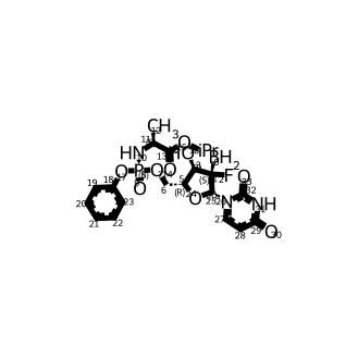 B[C@]1(F)[C@H](O)[C@@H](CO[P@@](=O)(N[C@@H](C)C(=O)OC(C)C)Oc2ccccc2)O[C@H]1n1ccc(=O)[nH]c1=O